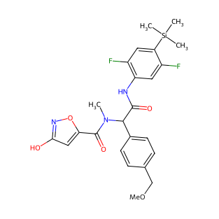 COCc1ccc(C(C(=O)Nc2cc(F)c([Si](C)(C)C)cc2F)N(C)C(=O)c2cc(O)no2)cc1